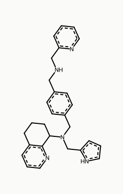 c1ccc(CNCc2ccc(CN(Cc3ccc[nH]3)C3CCCc4cccnc43)cc2)nc1